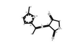 CC(=C=C1C(=O)COC1=O)c1ccc(C)s1